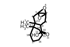 CC1(C2(C)CC34OC3(CC2C(=O)O)O4)CCCCC1